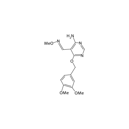 CON=Cc1c(N)ncnc1OCc1ccc(OC)c(OC)c1